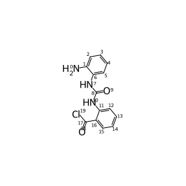 Nc1ccccc1NC(=O)Nc1ccccc1C(=O)Cl